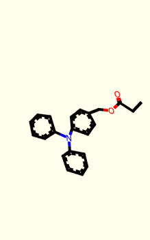 CCC(=O)OCc1ccc(N(c2ccccc2)c2ccccc2)cc1